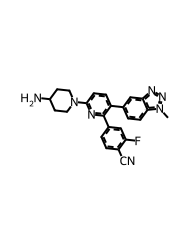 Cn1nnc2cc(-c3ccc(N4CCC(N)CC4)nc3-c3ccc(C#N)c(F)c3)ccc21